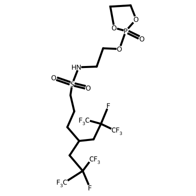 O=P1(OCCNS(=O)(=O)CCCC(CC(F)(C(F)(F)F)C(F)(F)F)CC(F)(C(F)(F)F)C(F)(F)F)OCCO1